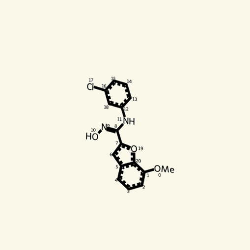 COc1cccc2cc(/C(=N\O)Nc3cccc(Cl)c3)oc12